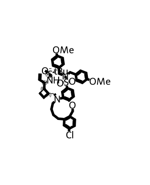 C=C[C@H](N[S@@+]([O-])C(C)(C)C)[C@@H]1CC[C@H]1CN1CCCCc2cc(Cl)ccc2COc2ccc(S(=O)(=O)N(Cc3ccc(OC)cc3)Cc3ccc(OC)cc3)cc21